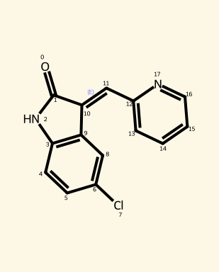 O=C1Nc2ccc(Cl)cc2/C1=C\c1ccccn1